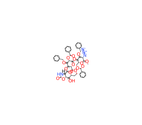 CCC1O[C@@H](O[C@H]2C(C(=O)OC)O[C@@H](O[C@@H]3C(COC(=O)c4ccccc4)O[C@H](OC)C(N=[N+]=[N-])[C@@H]3OCc3ccccc3)C(OC(=O)c3ccccc3)[C@@H]2OCc2ccccc2)[C@H]2NC(=O)OC2[C@@H]1O